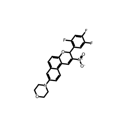 O=[N+]([O-])C1=Cc2c(ccc3cc(N4CCOCC4)ccc23)OC1c1cc(F)c(F)cc1F